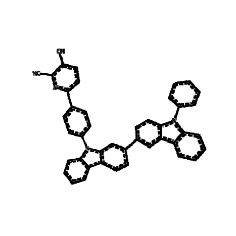 N#Cc1ccc(-c2ccc(-n3c4ccccc4c4ccc(-c5ccc6c(c5)c5ccccc5n6-c5ccccc5)cc43)cc2)nc1C#N